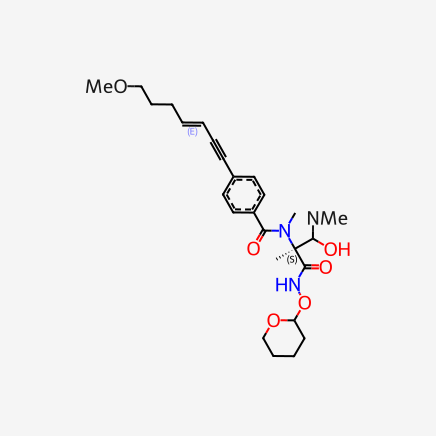 CNC(O)[C@@](C)(C(=O)NOC1CCCCO1)N(C)C(=O)c1ccc(C#C/C=C/CCCOC)cc1